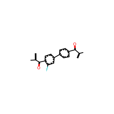 C=C(C)C(=O)c1ccc(-c2ccc(C(=O)C(=C)C)c(F)c2)cc1